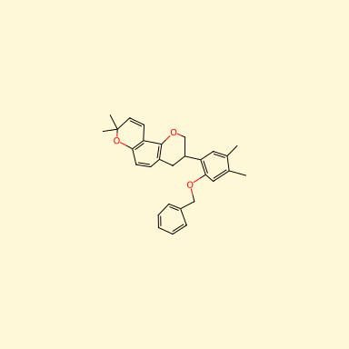 Cc1cc(OCc2ccccc2)c(C2COc3c(ccc4c3C=CC(C)(C)O4)C2)cc1C